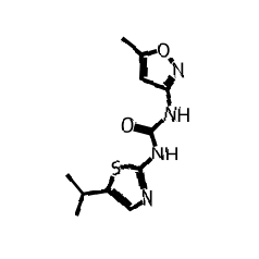 Cc1cc(NC(=O)Nc2ncc(C(C)C)s2)no1